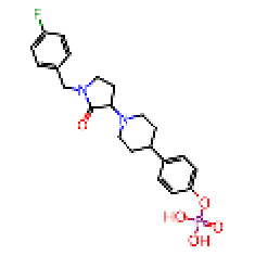 O=C1C(N2CCC(c3ccc(OP(=O)(O)O)cc3)CC2)CCN1Cc1ccc(F)cc1